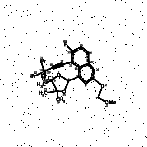 COCOc1cc(C2OC(C)(C)C(C)(C)O2)c2c(C#C[Si](C(C)C)(C(C)C)C(C)C)c(F)ccc2c1